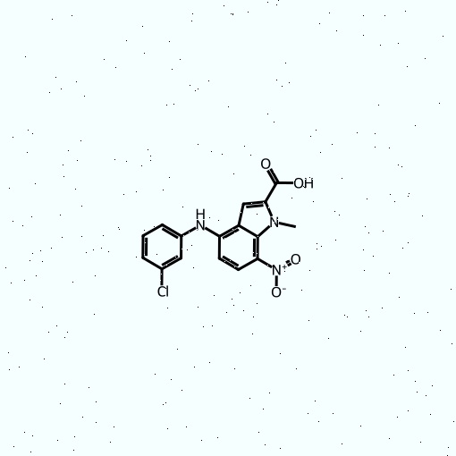 Cn1c(C(=O)O)cc2c(Nc3cccc(Cl)c3)ccc([N+](=O)[O-])c21